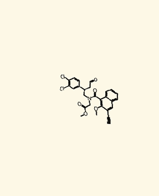 C#Cc1cc2ccccc2c(C(=O)N(CC(=O)OC)CC(CC=O)c2ccc(Cl)c(Cl)c2)c1OC